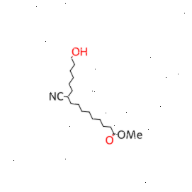 COC(=O)CCCCCCCCC(C#N)CCCCCCO